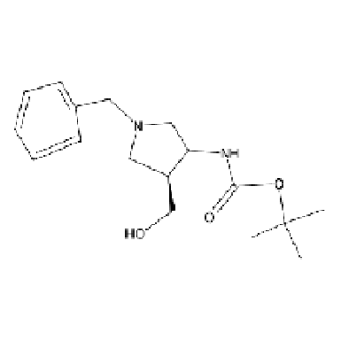 CC(C)(C)OC(=O)NC1CN(Cc2ccccc2)C[C@@H]1CO